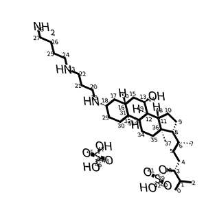 CC(C)[C@@H](CC[C@@H](C)[C@H]1CC[C@H]2[C@@H]3[C@H](O)C[C@H]4C[C@@H](NCCCNCCCCN)CC[C@]4(C)[C@H]3CC[C@]12C)OS(=O)(=O)O.O=S(=O)(O)O